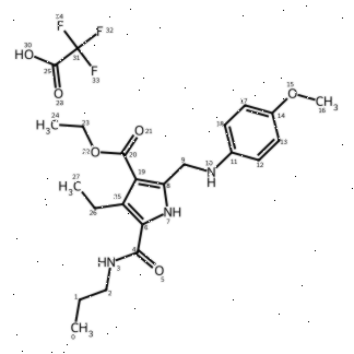 CCCNC(=O)c1[nH]c(CNc2ccc(OC)cc2)c(C(=O)OCC)c1CC.O=C(O)C(F)(F)F